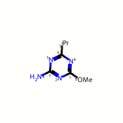 COc1nc(N)nc(C(C)C)n1